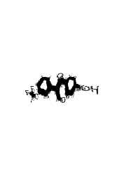 O=c1c(-c2cccc(OC(F)(F)F)c2)coc2cc(O)ccc12